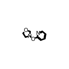 c1ccc(ON2CCOC2)nc1